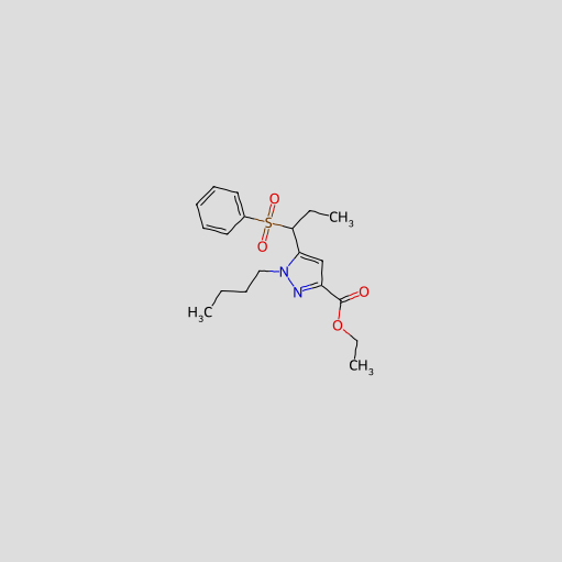 CCCCn1nc(C(=O)OCC)cc1C(CC)S(=O)(=O)c1ccccc1